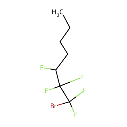 CCCCC(F)C(F)(F)C(F)(F)Br